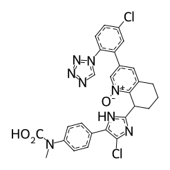 CN(C(=O)O)c1ccc(-c2[nH]c(C3CCCc4cc(-c5cc(Cl)ccc5-n5cnnn5)c[n+]([O-])c43)nc2Cl)cc1